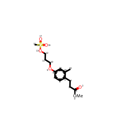 COC(=O)CCc1ccc(OCCCOS(C)(=O)=O)cc1C